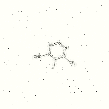 Cc1c(C=O)ncnc1C(F)(F)F